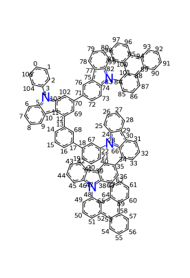 c1ccc(-n2c3ccccc3c3c(-c4cccc(-c5cccc(-n6c7ccccc7c7cccc(-c8ccc9c(c8)c8ccccc8n9-c8cccc9c%10ccccc%10c%10ccccc%10c89)c76)c5)c4)cc(-c4ccc5c(c4)c4ccccc4n5-c4cccc5c6ccccc6c6ccccc6c45)cc32)cc1